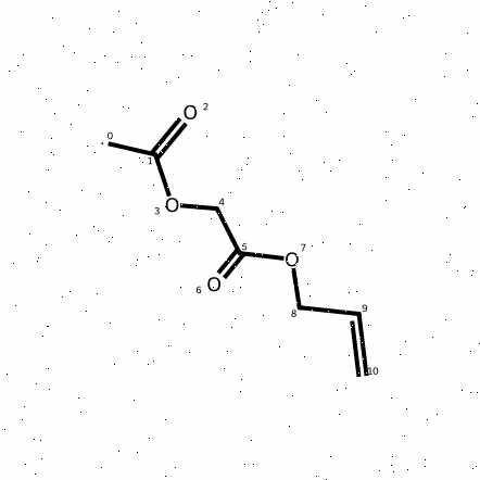 [CH2]C(=O)OCC(=O)OCC=C